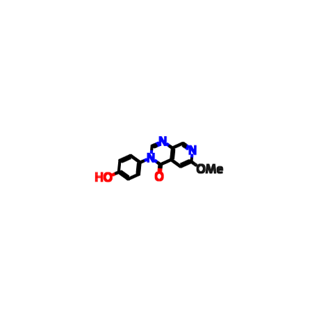 COc1cc2c(=O)n(-c3ccc(O)cc3)cnc2cn1